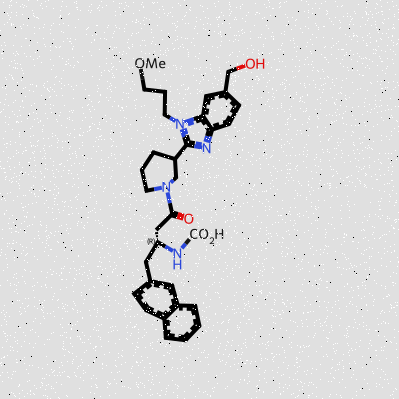 COCCCn1c(C2CCCN(C(=O)C[C@@H](Cc3ccc4ccccc4c3)NC(=O)O)C2)nc2ccc(CO)cc21